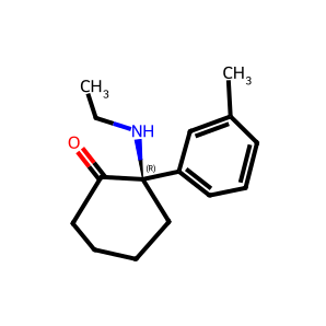 CCN[C@@]1(c2cccc(C)c2)CCCCC1=O